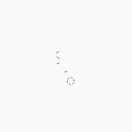 COC(=O)C=CC(=O)OCC(=O)Oc1ccc(Br)cc1